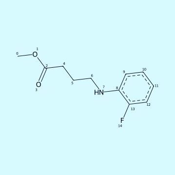 COC(=O)CCCNc1ccccc1F